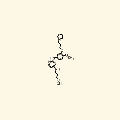 COCCCNc1ccnc(Nc2ccc(OC)c(OCCCN3CCCC3)c2)n1